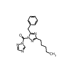 CCCCCc1nc(Cc2ccccc2)n(C(=O)n2cncn2)n1